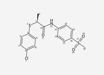 C[C@H](Sc1ccc(Cl)cc1)C(=O)Nc1ccc(S(C)(=O)=O)cc1